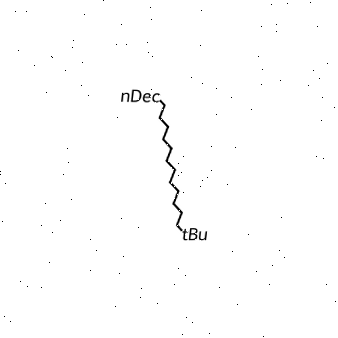 [CH2]CCCCCCCCCCCCCCCCCCCCCC(C)(C)C